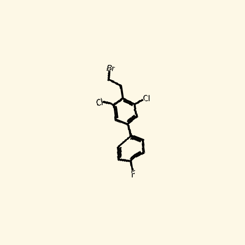 Fc1ccc(-c2cc(Cl)c(CCBr)c(Cl)c2)cc1